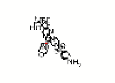 Nc1ccc(S(=O)(=O)N2CCN(c3ncc(C(O)(C(F)(F)F)C(F)(F)F)cn3)[C@@H](CN3C4COCC3CC(O)C4)C2)cn1